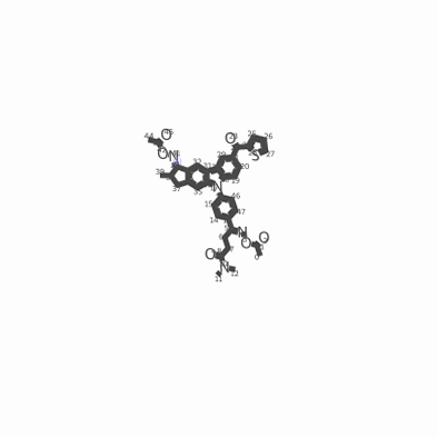 CC(=O)ON=C(CCC(=O)N(C)C)c1ccc(-n2c3ccc(C(=O)c4cccs4)cc3c3cc4c(cc32)CC(C)/C4=N\OC(C)=O)cc1